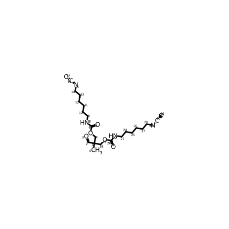 CC(C=O)(COC(=O)NCCCCCCN=C=O)COC(=O)NCCCCCCN=C=O